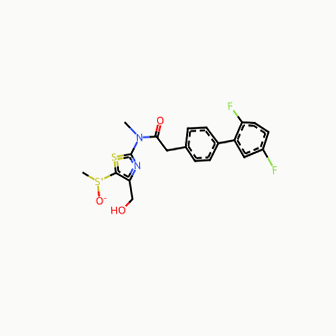 CN(C(=O)Cc1ccc(-c2cc(F)ccc2F)cc1)c1nc(CO)c([S+](C)[O-])s1